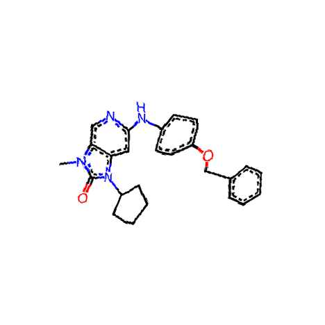 Cn1c(=O)n(C2CCCC2)c2cc(Nc3ccc(OCc4ccccc4)cc3)ncc21